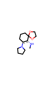 CN[C@@H]1[C@@H](N2CCCC2)CCCC12OCCO2